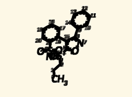 CCC[S+]([O-])c1onc(-c2ccccc2)c1-c1ccccc1S(N)(=O)=O